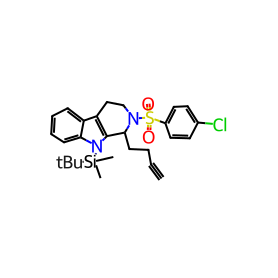 C#CCCC1c2c(c3ccccc3n2[Si](C)(C)C(C)(C)C)CCN1S(=O)(=O)c1ccc(Cl)cc1